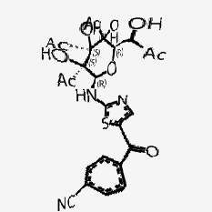 CC(=O)C(O)[C@H]1O[C@@H](Nc2ncc(C(=O)c3ccc(C#N)cc3)s2)[C@](O)(C(C)=O)[C@](O)(C(C)=O)[C@@]1(O)C(C)=O